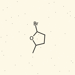 CC1CCC(Br)O1